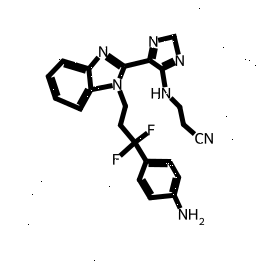 N#CCCNC1=NCN=C1c1nc2ccccc2n1CCC(F)(F)c1ccc(N)cc1